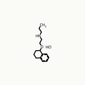 CCCNCCOC1CCCc2ccccc21.Cl